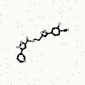 N#Cc1ccc(-c2cc(CCNC(=O)c3cc(-c4cccnc4)[nH]n3)on2)cc1Cl